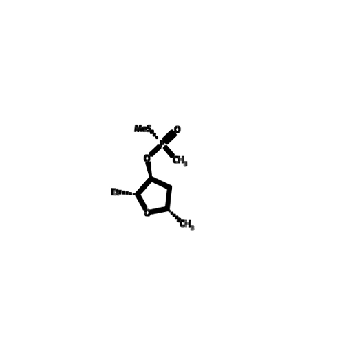 CC[C@H]1O[C@@H](C)C[C@@H]1O[P@](C)(=O)SC